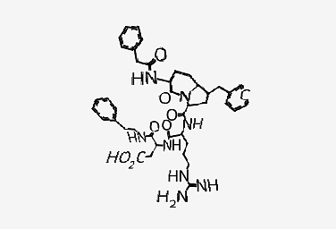 N=C(N)NCCCC(NC(=O)[C@@H]1CC(Cc2ccccc2)C2CCC(NC(=O)Cc3ccccc3)C(=O)N21)C(=O)N[C@@H](CC(=O)O)C(=O)NCCc1ccccc1